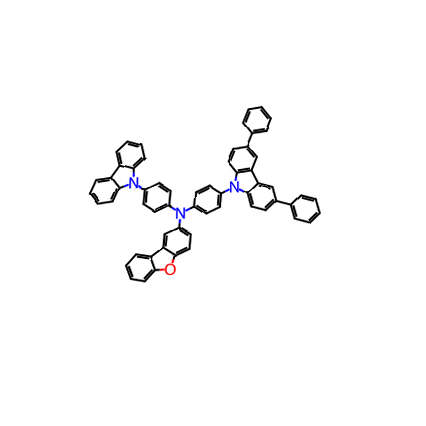 c1ccc(-c2ccc3c(c2)c2cc(-c4ccccc4)ccc2n3-c2ccc(N(c3ccc(-n4c5ccccc5c5ccccc54)cc3)c3ccc4oc5ccccc5c4c3)cc2)cc1